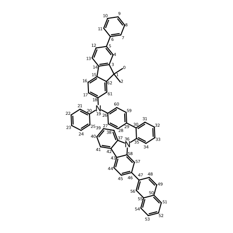 CC1(C)c2cc(-c3ccccc3)ccc2-c2ccc(N(c3ccccc3)c3ccc(-c4ccccc4-n4c5ccccc5c5ccc(-c6ccc7ccccc7c6)cc54)cc3)cc21